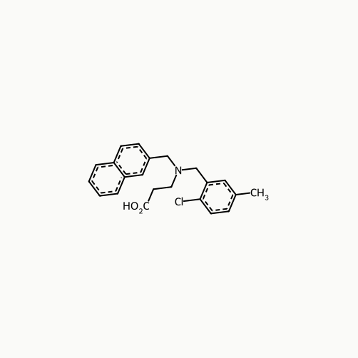 Cc1ccc(Cl)c(CN(CCC(=O)O)Cc2ccc3ccccc3c2)c1